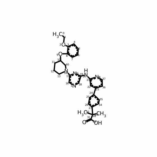 CCOc1ccccc1OC1CCCN(c2cncc(Nc3cc(-c4ccc(C(C)(C)C(=O)O)cc4)ccn3)n2)C1